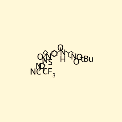 CC(C)(C)OC(=O)N1CCC(CNC(=O)c2ccc(N3C(=S)N(c4cnc(C#N)c(C(F)(F)F)c4)C(=O)C34CCC4)cc2)CC1